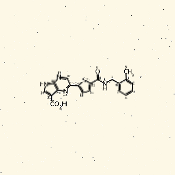 Cc1ccccc1CNC(=O)c1ccc(-c2cnc3[nH]cc(C(=O)O)c3n2)s1